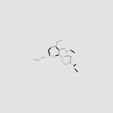 C=CCCC1=C(CC)C=C=C(OCCC)N=C1N1CCC(C(=O)C=C)CC1